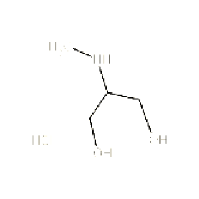 CNC(CO)CO.Cl